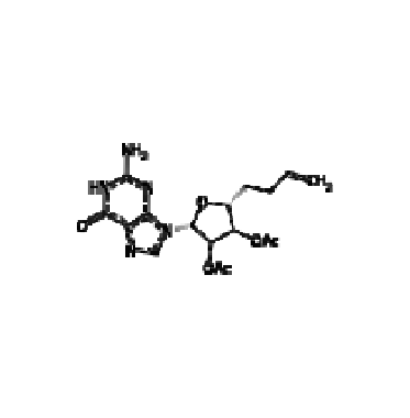 C=CCC[C@H]1O[C@@H](n2cnc3c(=O)[nH]c(N)nc32)C(OC(C)=O)C1OC(C)=O